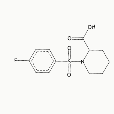 O=C(O)C1CCCCN1S(=O)(=O)c1ccc(F)cc1